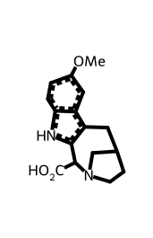 COc1ccc2[nH]c3c(c2c1)CC1CCN(C1)C3C(=O)O